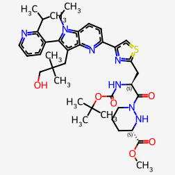 CCn1c(-c2cccnc2C(C)C)c(CC(C)(C)CO)c2nc(-c3csc(C[C@H](NC(=O)OC(C)(C)C)C(=O)N4CCC[C@@H](C(=O)OC)N4)n3)ccc21